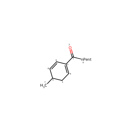 CCCCCC(=O)C1=CCC(C)C=C1